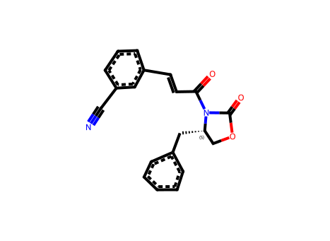 N#Cc1cccc(C=CC(=O)N2C(=O)OC[C@@H]2Cc2ccccc2)c1